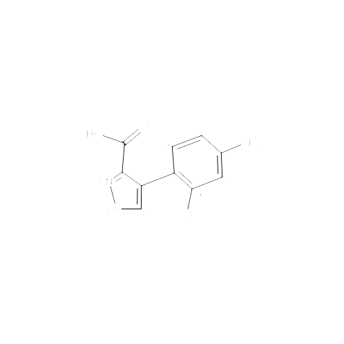 O=C(O)c1nocc1-c1ccc(Cl)cc1Cl